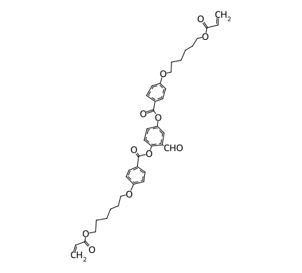 C=CC(=O)OCCCCCCOc1ccc(C(=O)Oc2ccc(OC(=O)c3ccc(OCCCCCCOC(=O)C=C)cc3)c(C=O)c2)cc1